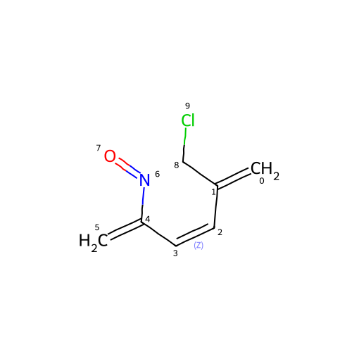 C=C(/C=C\C(=C)N=O)CCl